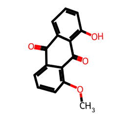 COc1cccc2c1C(=O)c1c(O)cccc1C2=O